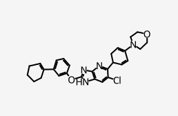 Clc1cc2[nH]c(Oc3cccc(C4=CCCCC4)c3)nc2nc1C1C=CC(N2CCOCC2)=CC1